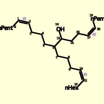 CCCCC/C=C\CCCC(CCC/C=C\CCCCCC)C(O)CC/C=C\CCCCC